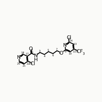 O=C(NCCCCCOc1cc(C(F)(F)F)cc(Cl)n1)c1cnccc1Cl